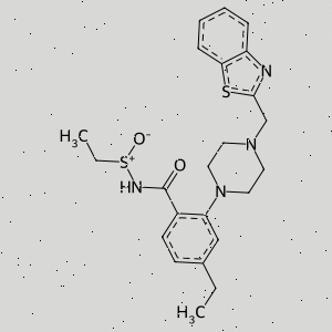 CCc1ccc(C(=O)N[S+]([O-])CC)c(N2CCN(Cc3nc4ccccc4s3)CC2)c1